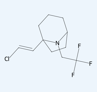 FC(F)(F)CN1C2CCCC1(C=CCl)CC2